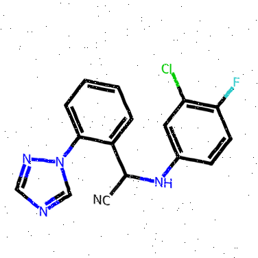 N#CC(Nc1ccc(F)c(Cl)c1)c1ccccc1-n1cncn1